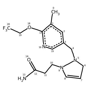 Cc1cc(CN2CC=CN2CCC(N)=O)cnc1OCC(F)(F)F